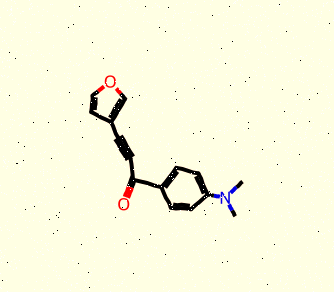 CN(C)c1ccc(C(=O)C#Cc2ccoc2)cc1